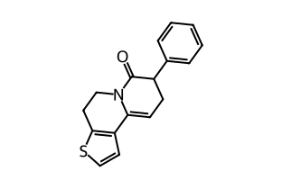 O=C1C(c2ccccc2)CC=C2c3ccsc3CCN12